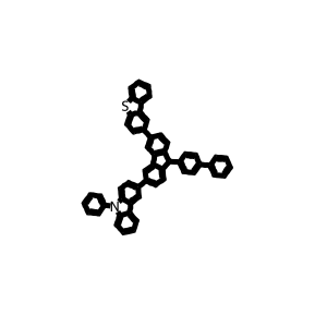 c1ccc(-c2ccc(C3c4ccc(-c5ccc6sc7ccccc7c6c5)cc4-c4cc(-c5ccc6c(c5)c5ccccc5n6-c5ccccc5)ccc43)cc2)cc1